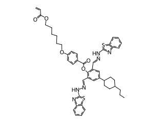 C=CC(=O)OCCCCCCOc1ccc(C(=O)Oc2c(/C=N/Nc3nc4ccccc4s3)cc(C3CCC(CCC)CC3)cc2/C=N/Nc2nc3ccccc3s2)cc1